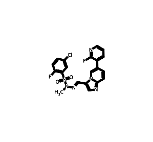 CN(N=Cc1cnc2ccc(-c3cccnc3F)cn12)S(=O)(=O)c1cc(Cl)ccc1F